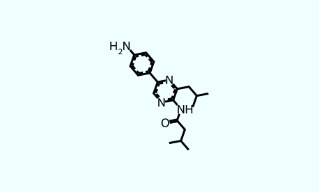 CC(C)CC(=O)Nc1ncc(-c2ccc(N)cc2)nc1CC(C)C